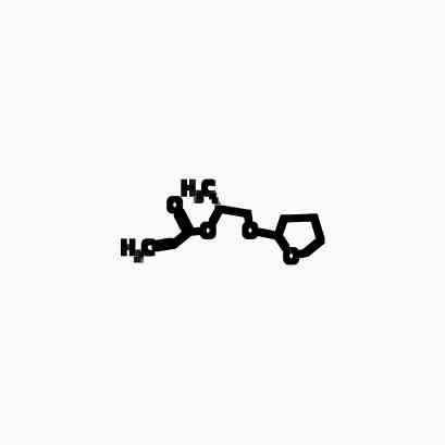 C=CC(=O)O[C@H](C)COC1CCCCO1